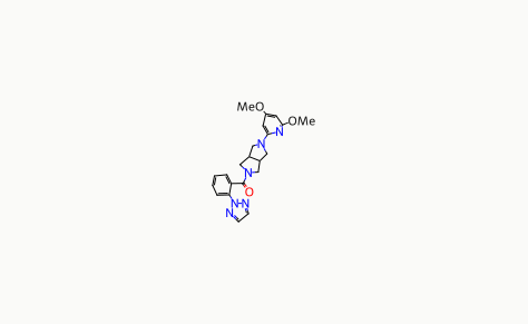 COc1cc(OC)nc(N2CC3CN(C(=O)c4ccccc4-n4nccn4)CC3C2)c1